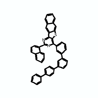 c1ccc(-c2ccc(-c3cccc(-c4cccc(-c5nc(-c6cccc7ccccc67)nc6c5sc5cc7ccccc7cc56)c4)c3)cc2)cc1